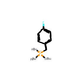 CCCC[PH](CCCC)(CCCC)Cc1ccc(F)cc1